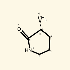 C[C@@H]1CCCNC1=O